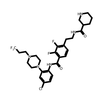 O=C(Nc1ccc(Cl)cc1N1CCN(CCC(F)(F)F)CC1)c1ccc(CCNC(=O)C2CCCNC2)c(F)c1F